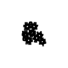 c1ccc2c(c1)-c1cccc3c(-c4nc(-c5cccc6oc7ccccc7c56)nc(-c5cncc6oc7ccccc7c56)n4)ccc-2c13